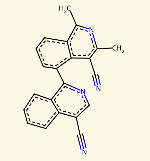 [CH2]c1nc(C)c2cccc(-c3ncc(C#N)c4ccccc34)c2c1C#N